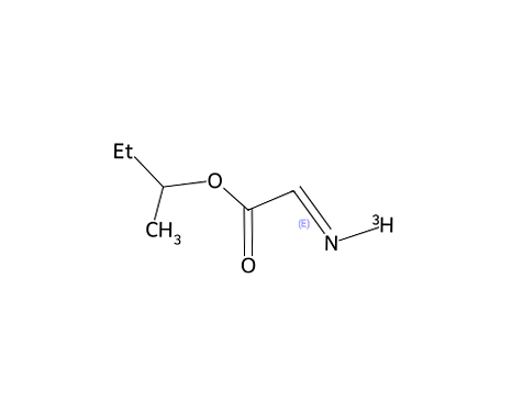 [3H]/N=C/C(=O)OC(C)CC